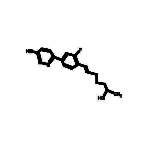 CC(O)CCCC=Cc1ccc(-c2ccc(O)nn2)cc1F